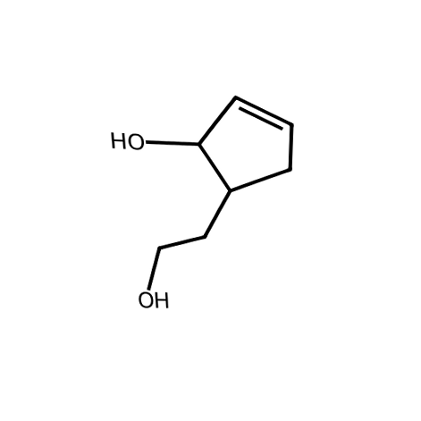 OCCC1CC=CC1O